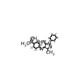 CC1=NN(c2ccccc2)C(=N)C1=Nc1ccc(N(C)C)cc1